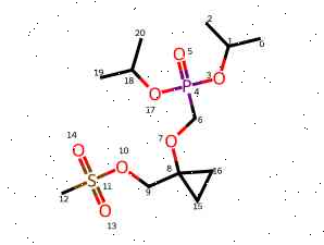 CC(C)OP(=O)(COC1(COS(C)(=O)=O)CC1)OC(C)C